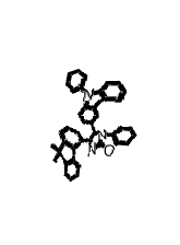 CC1(C)c2ccccc2-c2c(-c3nc4oc5ccccc5n4c3-c3ccc4c(c3)c3ccccc3n4-c3ccccc3)cccc21